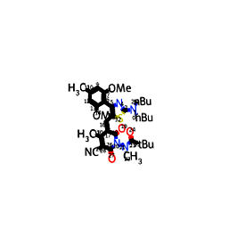 CCCCN(CCCC)c1nc(-c2c(OC)cc(C)cc2OC)c(/C=C2\C(=O)N(N(C)C(=O)C(C)(C)C)C(=O)C(C#N)=C2C)s1